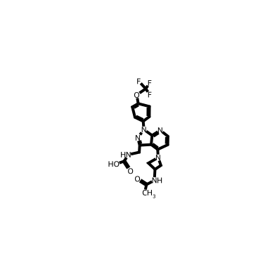 CC(=O)NC1CN(c2ccnc3c2c(CNC(=O)O)nn3-c2ccc(OC(F)(F)F)cc2)C1